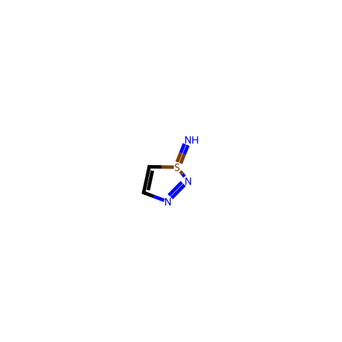 N=S1C=CN=N1